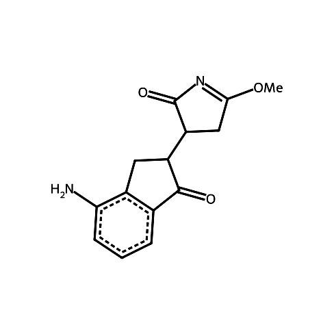 COC1=NC(=O)C(C2Cc3c(N)cccc3C2=O)C1